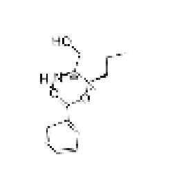 CCC[C@@H](OC(=O)c1ccccc1)[C@@H](N)CO